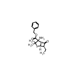 CC[C@@H]1C(=O)N2[C@@H]1SC(C)(C)[C@]2(N)C(=O)OCc1ccccc1